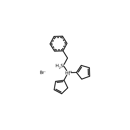 C1=CC[C]([Hf+]([SiH2]Cc2ccccc2)[C]2=CC=CC2)=C1.[Br-]